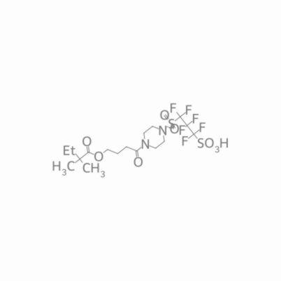 CCC(C)(C)C(=O)OCCCC(=O)N1CCN(S(=O)(=O)C(F)(F)C(F)(F)C(F)(F)S(=O)(=O)O)CC1